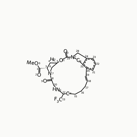 COC(=O)[C@@H]1C[C@@H]2CN1C(=O)CNC(C(F)(F)F)CCCC/C=C/c1cccc3c1CN(C3)C(=O)O2